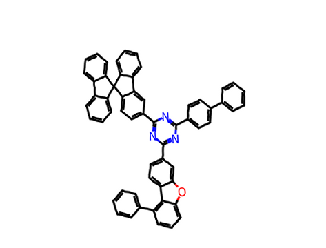 c1ccc(-c2ccc(-c3nc(-c4ccc5c(c4)-c4ccccc4C54c5ccccc5-c5ccccc54)nc(-c4ccc5c(c4)oc4cccc(-c6ccccc6)c45)n3)cc2)cc1